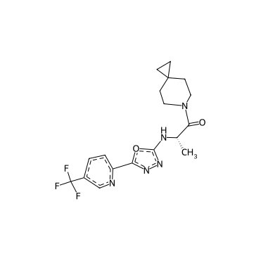 C[C@H](Nc1nnc(-c2ccc(C(F)(F)F)cn2)o1)C(=O)N1CCC2(CC1)CC2